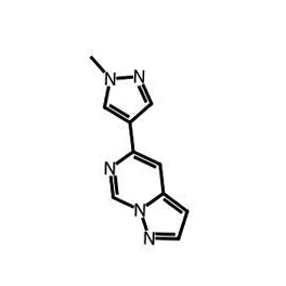 Cn1cc(-c2cc3ccnn3cn2)cn1